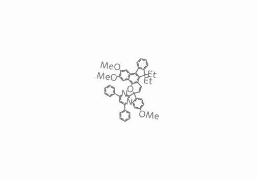 CCC1(CC)c2ccccc2-c2c1c1c(c3cc(OC)c(OC)cc23)OC(c2ccc(OC)cc2)(c2nc(-c3ccccc3)cc(-c3ccccc3)n2)C=C1